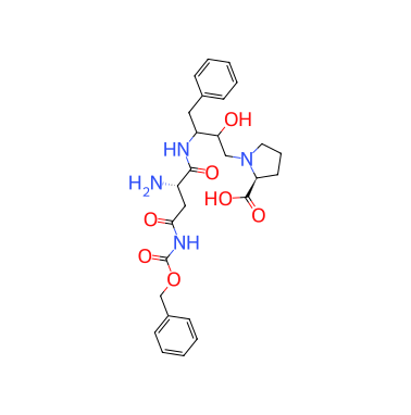 N[C@@H](CC(=O)NC(=O)OCc1ccccc1)C(=O)NC(Cc1ccccc1)C(O)CN1CCC[C@H]1C(=O)O